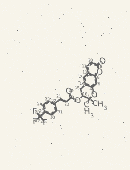 CC1(C)Oc2cc3oc(=O)ccc3cc2C[C@@H]1OC(=O)/C=C/c1ccc(C(F)(F)F)cc1